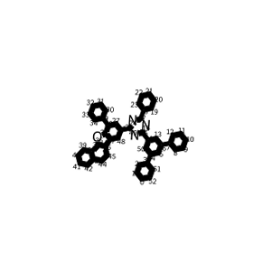 c1ccc(-c2cc(-c3ccccc3)cc(-c3nc(-c4ccccc4)nc(-c4cc(-c5ccccc5)c5oc6c7ccccc7ccc6c5c4)n3)c2)cc1